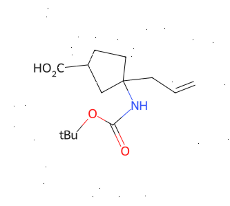 C=CCC1(NC(=O)OC(C)(C)C)CCC(C(=O)O)C1